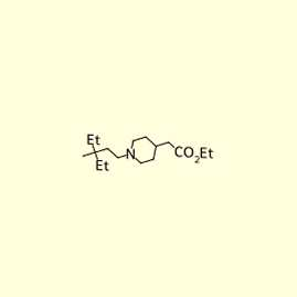 CCOC(=O)CC1CCN(CCC(C)(CC)CC)CC1